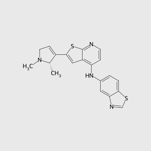 C[C@H]1C(c2cc3c(Nc4ccc5scnc5c4)ccnc3s2)=CCN1C